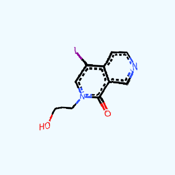 O=c1c2cnccc2c(I)cn1CCO